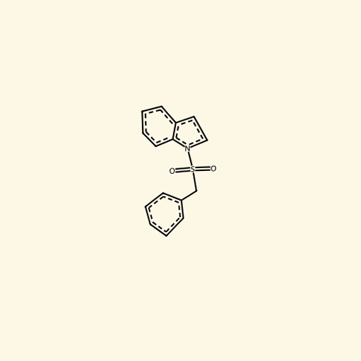 O=S(=O)(Cc1ccccc1)n1ccc2ccccc21